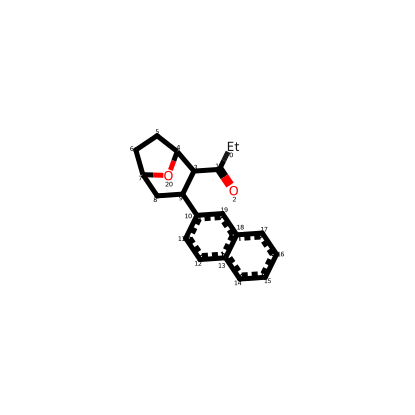 CCC(=O)C1C2CCC(CC1c1ccc3ccccc3c1)O2